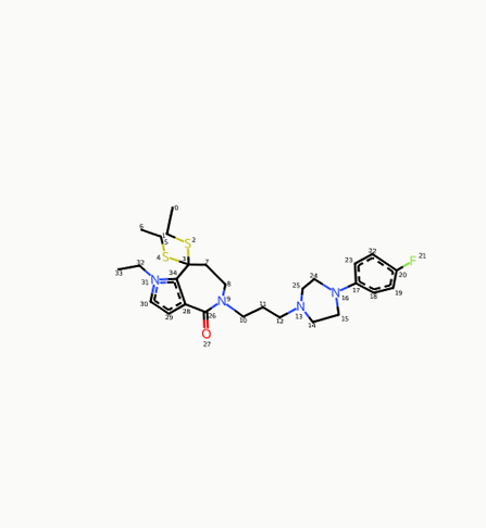 CCSC1(SCC)CCN(CCCN2CCN(c3ccc(F)cc3)CC2)C(=O)c2ccn(CC)c21